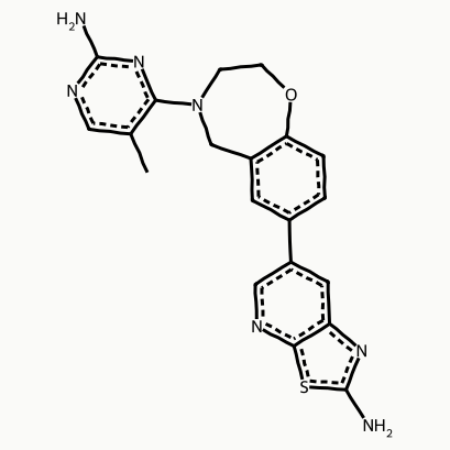 Cc1cnc(N)nc1N1CCOc2ccc(-c3cnc4sc(N)nc4c3)cc2C1